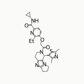 CCc1nc(C(=O)NC2CC2)ccc1OCC(=O)N1CCc2nc3n(c2[C@@H]1c1sc(C)nc1C)CCC3